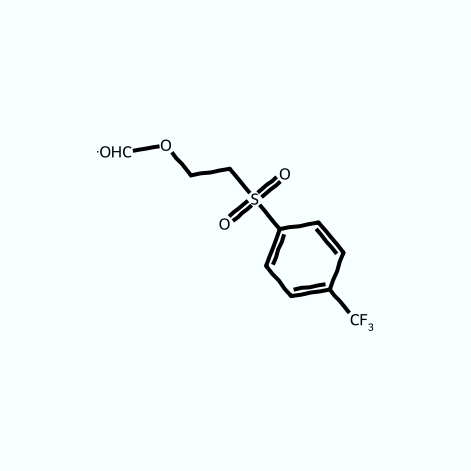 O=[C]OCCS(=O)(=O)c1ccc(C(F)(F)F)cc1